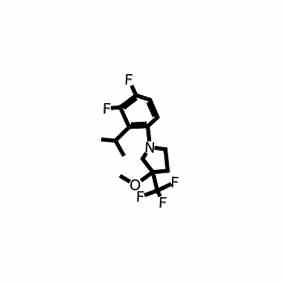 COC1(C(F)(F)F)CCN(c2ccc(F)c(F)c2C(C)C)C1